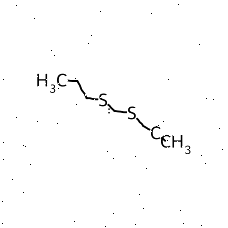 CCCS[C]SCCC